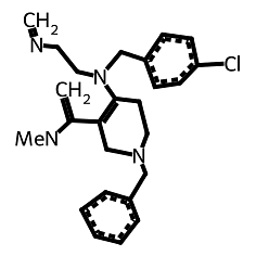 C=NCCN(Cc1ccc(Cl)cc1)C1=C(C(=C)NC)CN(Cc2ccccc2)CC1